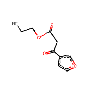 N#CCCOC(=O)CC(=O)c1ccoc1